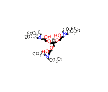 CCOC(=O)CN(CC(=O)OCC)CC(O)COCC(CC)(COCC(O)CN(CC(=O)OCC)CC(=O)OCC)COCC(O)CN(CC(=O)OCC)CC(=O)OCC